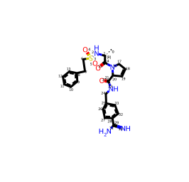 C[C@@H](NS(=O)(=O)CCc1ccccc1)C(=O)N1CC=CC1C(=O)NCc1ccc(C(=N)N)cc1